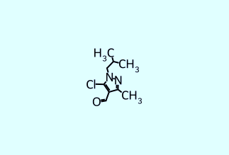 Cc1nn(CC(C)C)c(Cl)c1C=O